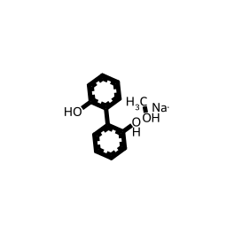 CO.Oc1ccccc1-c1ccccc1O.[Na]